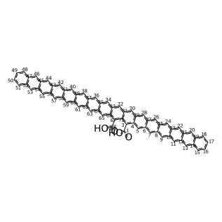 O=C(O)c1c2cc3cc4cc5cc6cc7ccccc7cc6cc5cc4cc3cc2cc2cc3cc4cc5cc6cc7cc8cc9cc%10ccccc%10cc9cc8cc7cc6cc5cc4cc3c(C(=O)O)c12